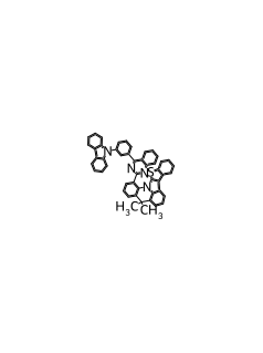 CC1(C)c2cccc(-c3nc(-c4cccc(-n5c6ccccc6c6ccccc65)c4)c4ccccc4n3)c2-n2c3sc4ccccc4c3c3cccc1c32